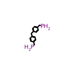 PCc1ccc(Cc2ccc(CP)cc2)cc1